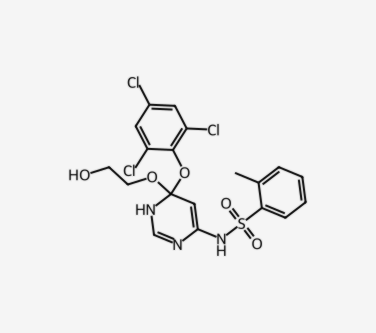 Cc1ccccc1S(=O)(=O)NC1=CC(OCCO)(Oc2c(Cl)cc(Cl)cc2Cl)NC=N1